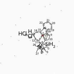 C[Si](C)(C)[Zr](=[SiH2])([C]1=CC=CC1)([c]1cccc2c1Cc1ccccc1-2)[Si](C)(C)C.Cl.Cl